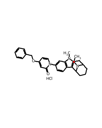 CCN1C2CCCC1c1c(n(C)c3cc(-n4ccc(OCc5ccccc5)cc4=O)ccc13)C2.Cl